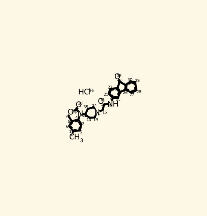 Cc1ccc2c(c1)COC(=O)N2C1CCN(CC(=O)Nc2ccc3c(c2)-c2ccccc2C3=O)CC1.Cl